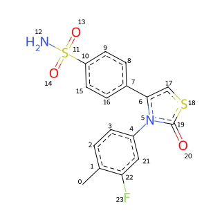 Cc1ccc(-n2c(-c3ccc(S(N)(=O)=O)cc3)csc2=O)cc1F